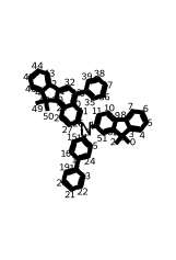 CC1(C)c2ccccc2-c2ccc(N(c3ccc(-c4ccccc4)cc3)c3ccc4c5c(cc(-c6ccccc6)c4c3)-c3ccccc3C5(C)C)cc21